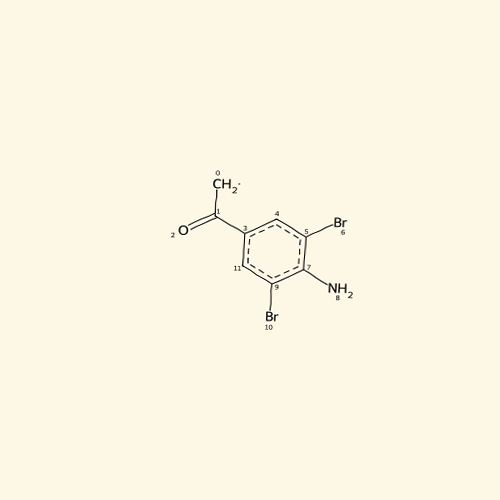 [CH2]C(=O)c1cc(Br)c(N)c(Br)c1